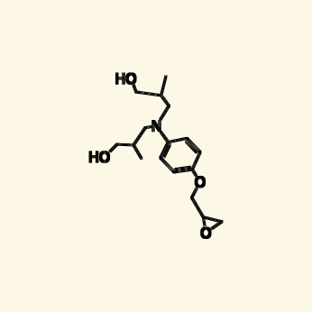 CC(CO)CN(CC(C)CO)c1ccc(OCC2CO2)cc1